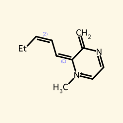 C=c1ncc[n+](C)/c1=C/C=C\CC